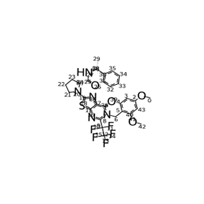 COc1ccc(Cn2c(C(F)(F)C(F)(F)F)nc3sc(N4CCC[C@@H]4C(=O)N[C@H](C)c4ccccc4)nc3c2=O)c(OC)c1